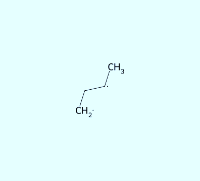 [CH2]C[CH]C